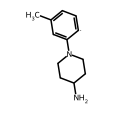 Cc1cc[c]c(N2CCC(N)CC2)c1